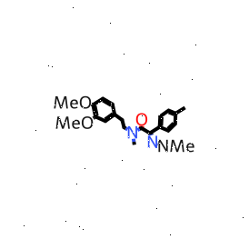 CNN=C(C(=O)N(C)CCc1ccc(OC)c(OC)c1)c1ccc(C)cc1